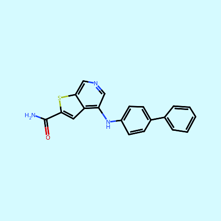 NC(=O)c1cc2c(Nc3ccc(-c4ccccc4)cc3)cncc2s1